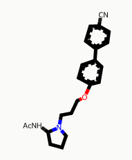 CC(=O)NC1CCCN1CCCOc1ccc(-c2ccc(C#N)cc2)cc1